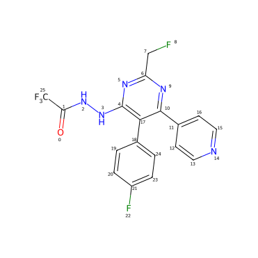 O=C(NNc1nc(CF)nc(-c2ccncc2)c1-c1ccc(F)cc1)C(F)(F)F